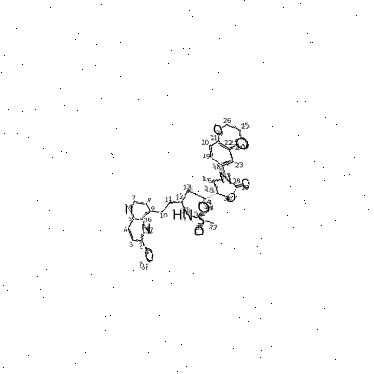 COc1ccc2nccc(CC[C@@H](CC[C@@H]3CN(c4ccc5c(c4)OCCO5)C(=O)O3)NS(C)(=O)=O)c2n1